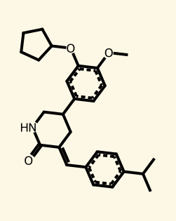 COc1ccc(C2CNC(=O)C(=Cc3ccc(C(C)C)cc3)C2)cc1OC1CCCC1